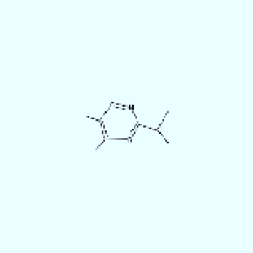 Cc1cnc(C(C)C)nc1C